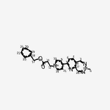 CP1N=Cc2ccc(-c3cc[n+](CCC(=O)OCc4ccccc4)cc3)nc2C=N1